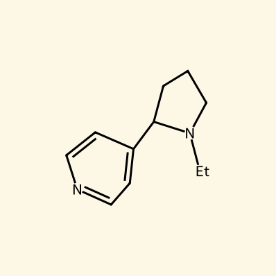 CCN1CCCC1c1ccncc1